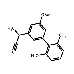 C#C[C@@H](C)c1cc(OC)cc(-c2c(C)cccc2C)c1